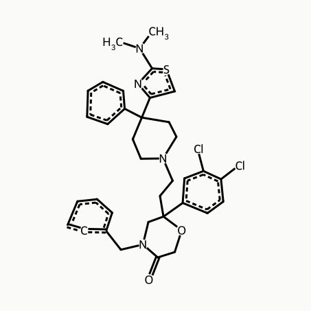 CN(C)c1nc(C2(c3ccccc3)CCN(CCC3(c4ccc(Cl)c(Cl)c4)CN(Cc4ccccc4)C(=O)CO3)CC2)cs1